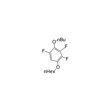 CCCCCCOc1cc(F)c(OCCCC)c(F)c1F